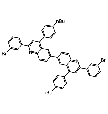 CCCCc1ccc(-c2cc(-c3cccc(Br)c3)nc3ccc(-c4ccc5nc(-c6cccc(Br)c6)cc(-c6ccc(CCCC)cc6)c5c4)cc23)cc1